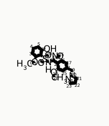 COc1cccc(O)c1S(=O)(=O)Nc1noc2cc(Cn3cccn3)cc(OC)c12